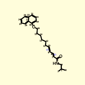 CC(C)CNC(=O)/C=C/C=C/CCCCCCOc1cccc2ccccc12